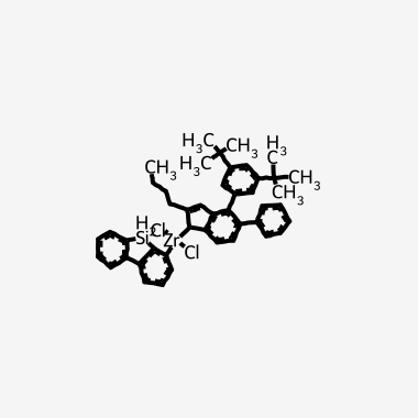 CCCCC1=Cc2c(ccc(-c3ccccc3)c2-c2cc(C(C)(C)C)cc(C(C)(C)C)c2)[CH]1[Zr]([Cl])([Cl])[c]1cccc2c1[SiH2]c1ccccc1-2